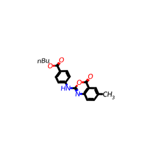 CCCCOC(=O)c1ccc(Nc2nc3ccc(C)cc3c(=O)o2)cc1